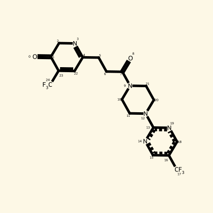 O=C1CN=C(CCC(=O)N2CCN(c3ncc(C(F)(F)F)cn3)CC2)C=C1C(F)(F)F